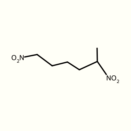 CC(CCCC[N+](=O)[O-])[N+](=O)[O-]